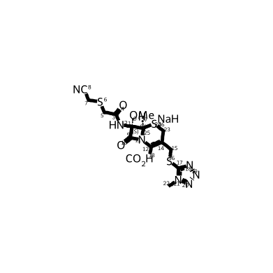 CO[C@@]1(NC(=O)CSCC#N)C(=O)N2C(C(=O)O)=C(CSc3nnnn3C)CS[C@@H]21.[NaH]